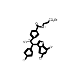 CCC[C@H](c1ccc(C(=O)NCCC(=O)OCC)cc1)C(c1ccc(Cl)cc1)c1csc2c(Br)cc(Cl)cc12